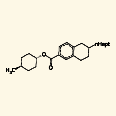 CCCCCCCC1CCc2cc(C(=O)O[C@H]3CC[C@H](C)CC3)ccc2C1